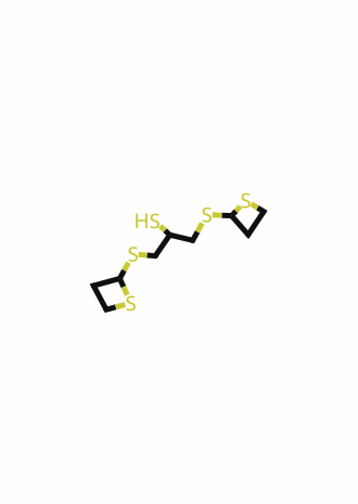 SC(CSC1CCS1)CSC1CCS1